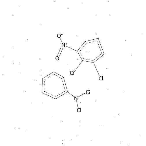 ClN(Cl)c1ccccc1.O=[N+]([O-])c1cccc(Cl)c1Cl